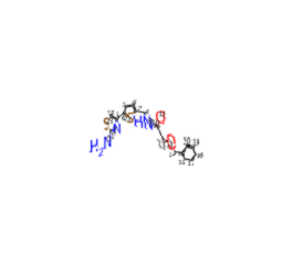 Nc1nc(-c2ccc(CNC(=O)COCc3ccccc3)s2)cs1